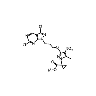 COC(=O)C1(n2nc(OCCCn3nc(Cl)c4cnc(Cl)nc43)c([N+](=O)[O-])c2C)CC1